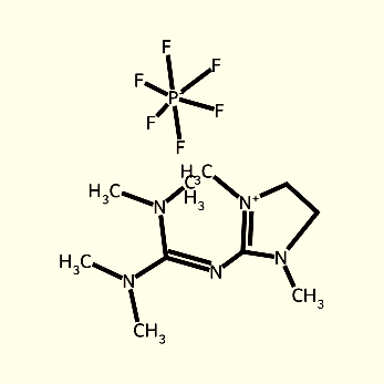 CN(C)C(=NC1=[N+](C)CCN1C)N(C)C.F[P-](F)(F)(F)(F)F